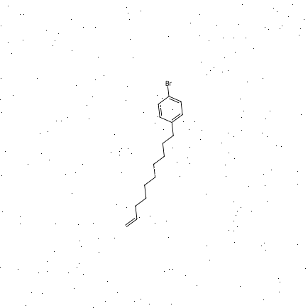 C=CCCCCCCCCc1ccc(Br)cc1